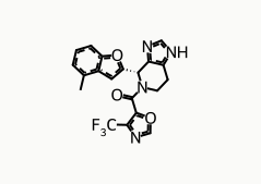 Cc1cccc2oc([C@@H]3c4nc[nH]c4CCN3C(=O)c3ocnc3C(F)(F)F)cc12